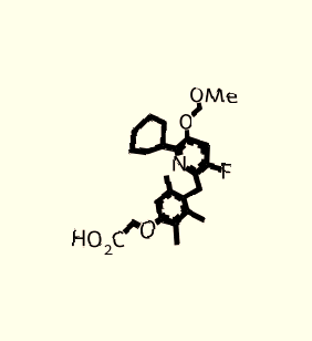 COCOc1cc(F)c(Cc2c(C)cc(OCC(=O)O)c(C)c2C)nc1C1CCCCC1